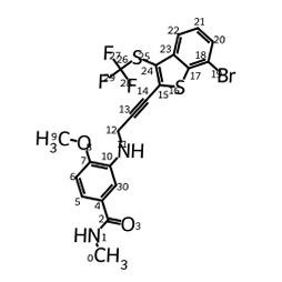 CNC(=O)c1ccc(OC)c(NCC#Cc2sc3c(Br)cccc3c2SC(F)(F)F)c1